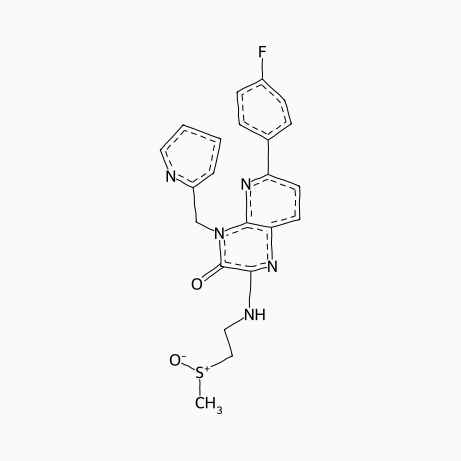 C[S+]([O-])CCNc1nc2ccc(-c3ccc(F)cc3)nc2n(Cc2ccccn2)c1=O